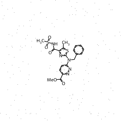 COC(=O)c1ccc(N(Cc2ccccc2)c2nc(C(=O)NS(C)(=O)=O)c(C)s2)nn1